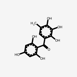 Cc1cc(C(=O)c2c(O)cc(O)cc2O)c(O)c(O)c1O